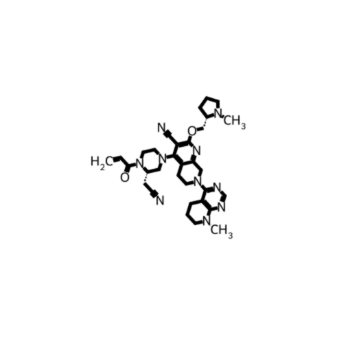 C=CC(=O)N1CCN(c2c(C#N)c(OC[C@@H]3CCCN3C)nc3c2CCN(c2ncnc4c2CCCN4C)C3)C[C@@H]1CC#N